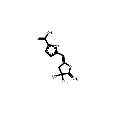 C=C1O/C(=C/c2ccc(C(=O)O)[nH]2)CC1(C)C